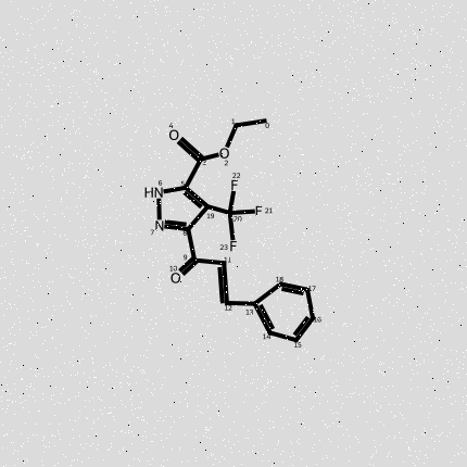 CCOC(=O)c1[nH]nc(C(=O)/C=C/c2ccccc2)c1C(F)(F)F